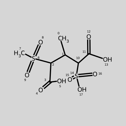 CC(C(C(=O)O)S(C)(=O)=O)C(C(=O)O)S(=O)(=O)O